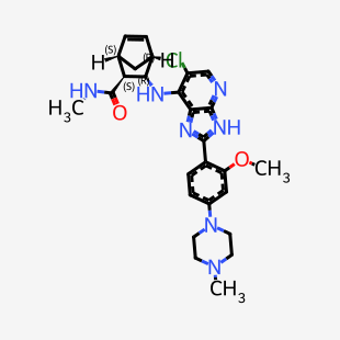 CNC(=O)[C@@H]1[C@H](Nc2c(Cl)cnc3[nH]c(-c4ccc(N5CCN(C)CC5)cc4OC)nc23)[C@H]2C=C[C@@H]1C2